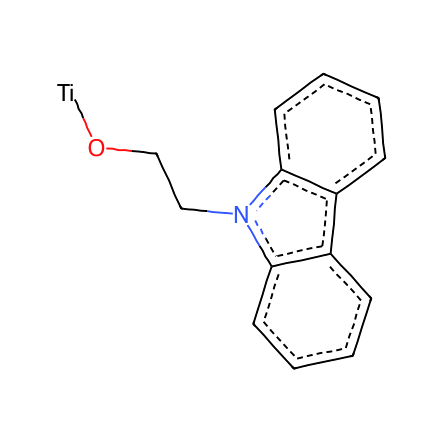 [Ti][O]CCn1c2ccccc2c2ccccc21